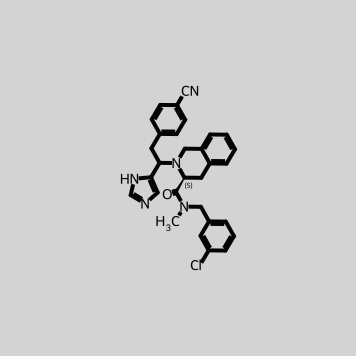 CN(Cc1cccc(Cl)c1)C(=O)[C@@H]1Cc2ccccc2CN1C(Cc1ccc(C#N)cc1)c1cnc[nH]1